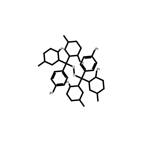 CC1CCC(C(C)C)C(C(OOC(c2ccc(C(C)C)cc2)(C2CC(C)CCC2C(C)C)C2CC(C)CCC2C(C)C)(c2ccc(C(C)C)cc2)C2CC(C)CCC2C(C)C)C1